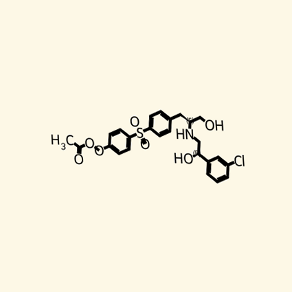 CC(=O)OOc1ccc(S(=O)(=O)c2ccc(C[C@@H](CO)NC[C@H](O)c3cccc(Cl)c3)cc2)cc1